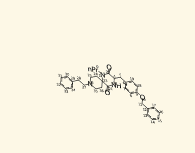 CCCN1C(=O)C(Cc2ccc(OCc3ccccc3)cc2)NC(=O)C12CCN(CCc1ccccc1)CC2